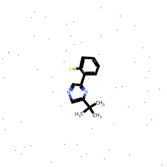 CC(C)(C)c1cncc(-c2ccccc2F)n1